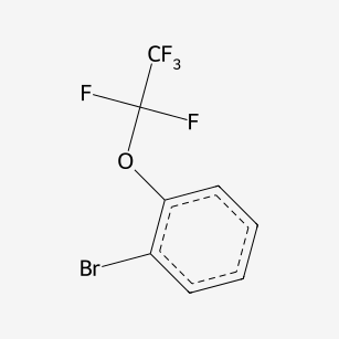 FC(F)(F)C(F)(F)Oc1ccccc1Br